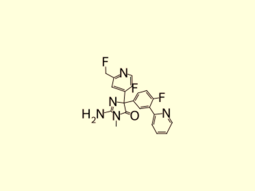 CN1C(=O)C(c2ccnc(CF)c2)(c2cc(-c3ccccn3)c(F)cc2F)N=C1N